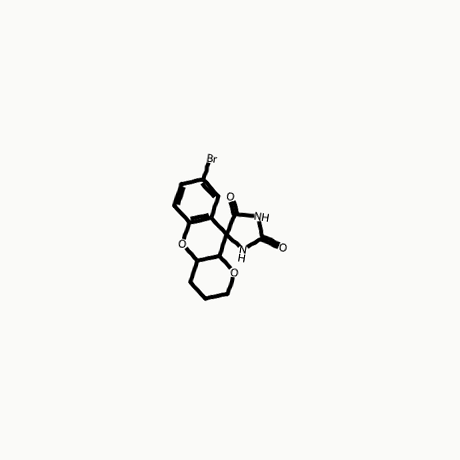 O=C1NC(=O)C2(N1)c1cc(Br)ccc1OC1CCCOC12